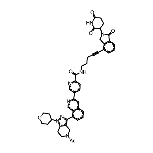 CC(=O)N1CCc2c(c(-c3cccc4cc(-c5ccc(C(=O)NCCCC#Cc6cccc7c6CN(C6CCC(=O)NC6=O)C7=O)nc5)ncc34)nn2C2CCOCC2)C1